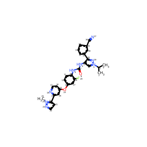 CC(C)n1cc(NC(=O)Nc2ccc(Oc3ccnc(-c4ccnn4C)c3)cc2F)c(-c2cccc(C#N)c2)n1